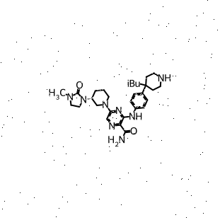 CCC(C)C1(c2ccc(Nc3nc(N4CCC[C@@H](N5CCN(C)C5=O)C4)cnc3C(N)=O)cc2)CCNCC1